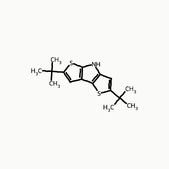 CC(C)(C)c1cc2c([nH]c3cc(C(C)(C)C)sc32)s1